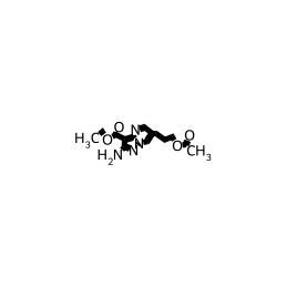 CCOC(=O)c1c(N)nn2cc(CCCOC(C)=O)cnc12